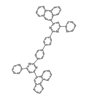 c1ccc(-c2cc(-c3cc4ccccc4c4ccccc34)nc(-c3ccc(-c4ccc(-c5nc(-c6ccccc6)cc(-c6cc7ccccc7c7ccccc67)n5)cc4)cc3)n2)cc1